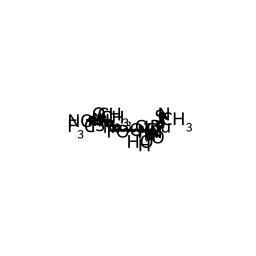 Cc1ncsc1-c1ccc(CNC(=O)[C@@H]2C[C@@H](O)CN2C(=O)[C@@H](NC(=O)COCCCCOc2ccc(-c3ccc(N4C(=S)N(c5ccc(C#N)c(C(F)(F)F)c5F)C(=O)C4(C)C)cn3)c(F)c2)C(C)(C)C)cc1